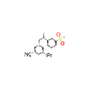 CC(C)c1cc(C#N)cc(CC(C)c2cccc(S(C)(=O)=O)c2)c1